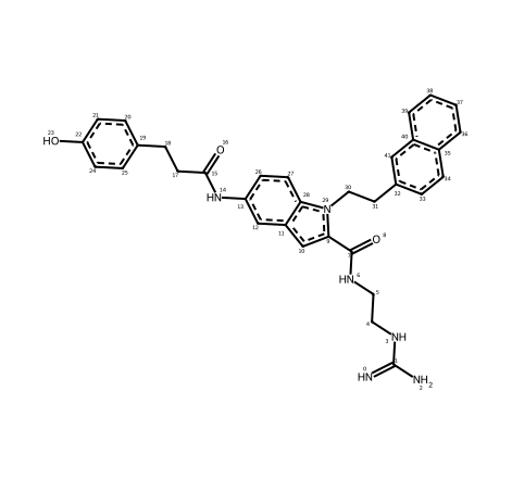 N=C(N)NCCNC(=O)c1cc2cc(NC(=O)CCc3ccc(O)cc3)ccc2n1CCc1ccc2ccccc2c1